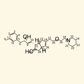 Cc1cccc(C[C@H](O)/C=C/[C@@H]2[C@H]3CC(CCOCCN4CCCCC4)=C[C@H]3C[C@H]2O)c1